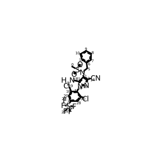 CS(=O)(=O)N(Cc1ccccc1)c1c(C#N)nn(-c2c(Cl)cc(S(F)(F)(F)(F)F)cc2Cl)c1N